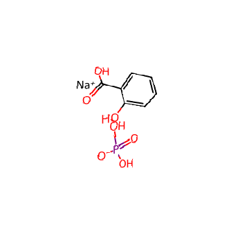 O=C(O)c1ccccc1O.O=P([O-])(O)O.[Na+]